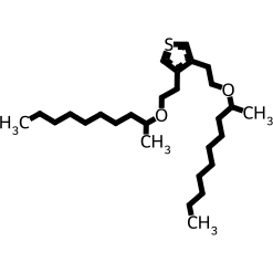 CCCCCCCCC(C)OCCc1cscc1CCOC(C)CCCCCCCC